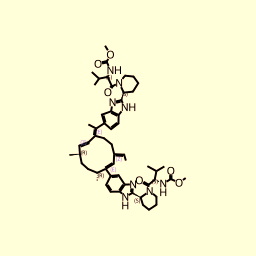 C/C=C1\C=C(\c2ccc3[nH]c([C@@H]4CCCCN4C(=O)[C@@H](NC(=O)OC)C(C)C)nc3c2)[C@H](C)CC[C@@H](C)/C=C\C(=C(/C)c2ccc3[nH]c([C@@H]4CCCCN4C(=O)[C@@H](NC(=O)OC)C(C)C)nc3c2)CC1